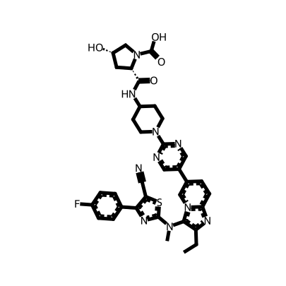 CCc1nc2ccc(-c3cnc(N4CCC(NC(=O)[C@@H]5C[C@H](O)CN5C(=O)O)CC4)nc3)cn2c1N(C)c1nc(-c2ccc(F)cc2)c(C#N)s1